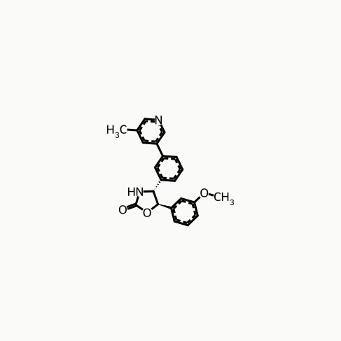 COc1cccc([C@H]2OC(=O)N[C@@H]2c2cccc(-c3cncc(C)c3)c2)c1